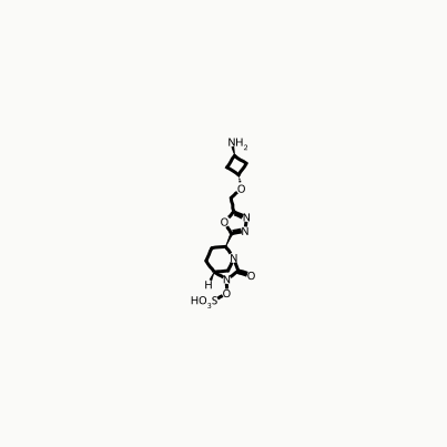 N[C@H]1C[C@H](OCc2nnc([C@@H]3CC[C@@H]4CN3C(=O)N4OS(=O)(=O)O)o2)C1